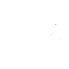 C#Cc1coc2ccc(C(=O)N[C@@H]3C[C@H]4CC[C@@H]3N4)cc12